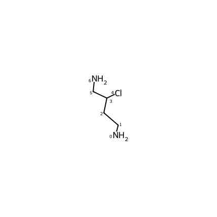 NCCC(Cl)CN